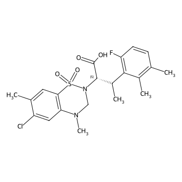 Cc1cc2c(cc1Cl)N(C)CN([C@H](C(=O)O)C(C)c1c(F)ccc(C)c1C)S2(=O)=O